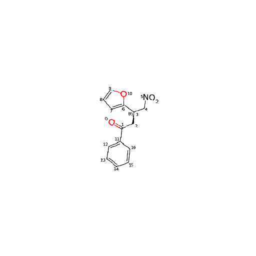 O=C(C[C@H](C[N+](=O)[O-])c1ccco1)c1ccccc1